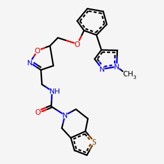 Cn1cc(-c2ccccc2OCC2CC(CNC(=O)N3CCc4sccc4C3)=NO2)cn1